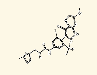 CNc1ccc2c(=O)n(-c3c(F)cc(NC(=O)NCc4ccc(C)s4)cc3C(F)(F)F)c(=O)[nH]c2n1